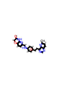 Cc1ccc2ncnc(CCC34CCC(NCc5ccc6c(n5)NC(=O)CO6)(CC3)CO4)c2n1